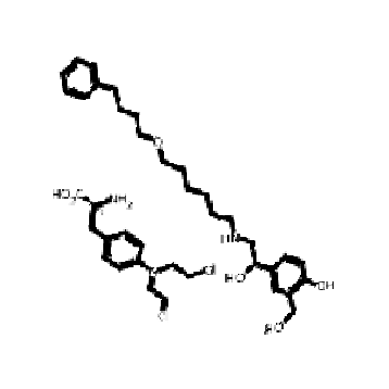 N[C@@H](Cc1ccc(N(CCCl)CCCl)cc1)C(=O)O.OCc1cc(C(O)CNCCCCCCOCCCCc2ccccc2)ccc1O